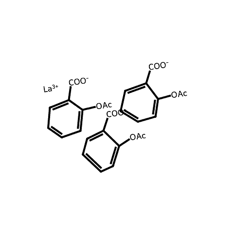 CC(=O)Oc1ccccc1C(=O)[O-].CC(=O)Oc1ccccc1C(=O)[O-].CC(=O)Oc1ccccc1C(=O)[O-].[La+3]